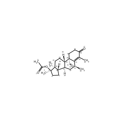 CC(=O)O[C@]1(C)CC[C@H]2[C@@H]3C[C@H](C)C4=C(C)C(=O)CC[C@]4(C=O)[C@H]3CC[C@@]21C